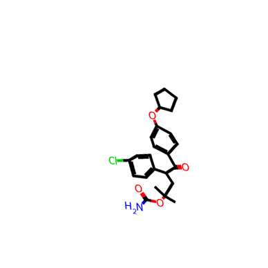 CC(C)(CC(C(=O)c1ccc(OC2CCCC2)cc1)c1ccc(Cl)cc1)OC(N)=O